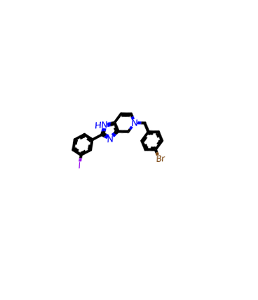 Brc1ccc(CN2C=Cc3[nH]c(-c4cccc(I)c4)nc3C2)cc1